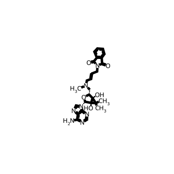 CN(C/C=C/CN1C(=O)c2ccccc2C1=O)C[C@H]1O[C@@H](n2cnc3c(N)ncnc32)[C@@]2(O)C(C)(C)[C@@]12O